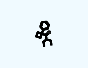 CCN(CC)C(=O)C1(c2ccccc2)CCC1